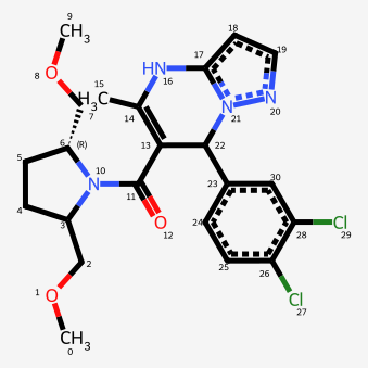 COCC1CC[C@H](COC)N1C(=O)C1=C(C)Nc2ccnn2C1c1ccc(Cl)c(Cl)c1